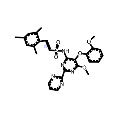 COc1ccccc1Oc1c(NS(=O)(=O)/C=C/c2c(C)cc(C)cc2C)nc(-c2ncccn2)nc1OC